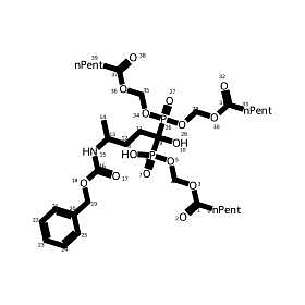 CCCCCC(=O)OCOP(=O)(O)C(O)(CCC(C)NC(=O)OCc1ccccc1)P(=O)(OCOC(=O)CCCCC)OCOC(=O)CCCCC